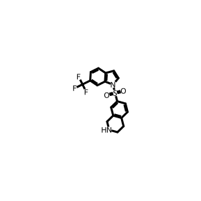 O=S(=O)(c1ccc2c(c1)CNCC2)n1ccc2ccc(C(F)(F)F)cc21